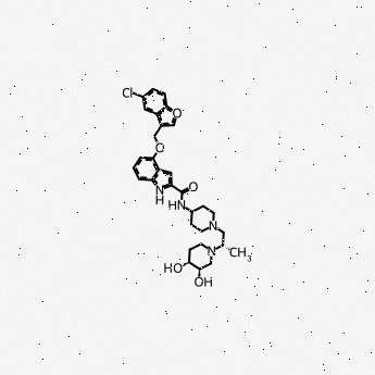 C[C@@H](CN1CCC(NC(=O)c2cc3c(OCc4coc5ccc(Cl)cc45)cccc3[nH]2)CC1)N1CC[C@H](O)[C@H](O)C1